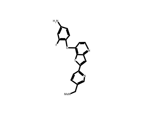 CNCc1ccc(-c2cc3nccc(Oc4ccc(N)cc4F)c3s2)nc1